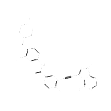 CCn1cc(C#Cc2cc(C(=O)Nc3ccc(CN4CCN(C)CC4)c(C(F)(F)F)c3)ccc2C)c2c(N)ncnc21